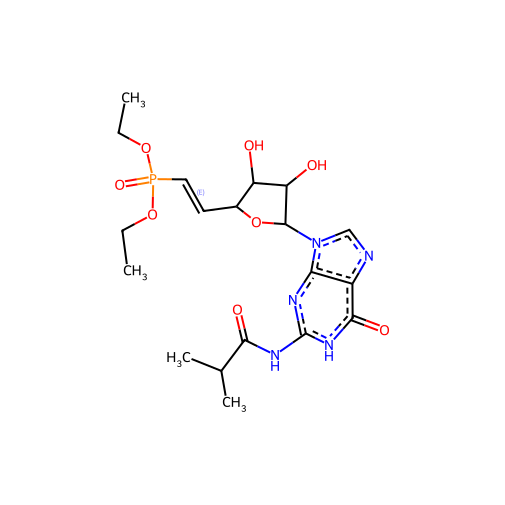 CCOP(=O)(/C=C/C1OC(n2cnc3c(=O)[nH]c(NC(=O)C(C)C)nc32)C(O)C1O)OCC